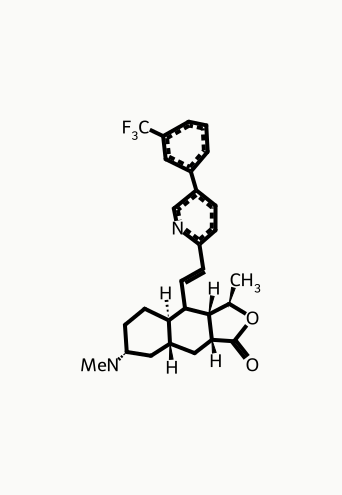 CN[C@@H]1CC[C@H]2C(/C=C/c3ccc(-c4cccc(C(F)(F)F)c4)cn3)[C@@H]3[C@@H](C)OC(=O)[C@@H]3C[C@@H]2C1